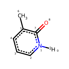 [2H]n1cccc(C)c1=O